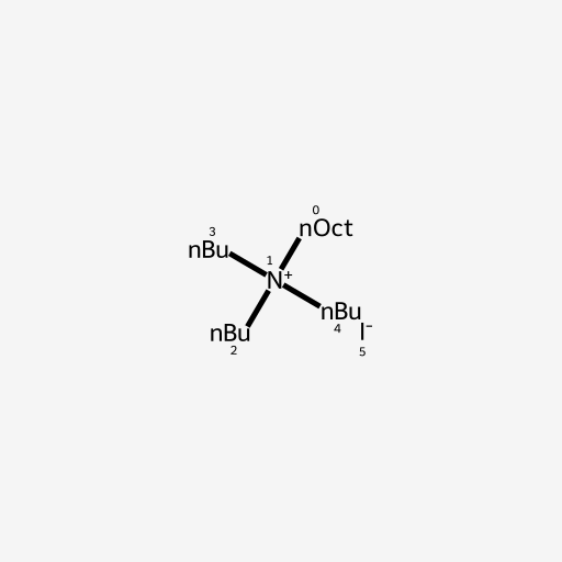 CCCCCCCC[N+](CCCC)(CCCC)CCCC.[I-]